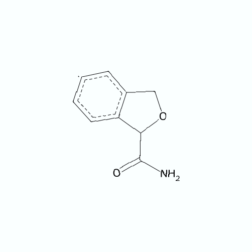 NC(=O)C1OCc2c[c]ccc21